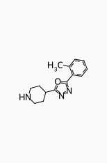 Cc1ccccc1-c1nnc(C2CCNCC2)o1